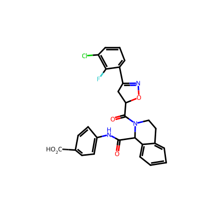 O=C(O)c1ccc(NC(=O)C2c3ccccc3CCN2C(=O)C2CC(c3cccc(Cl)c3F)=NO2)cc1